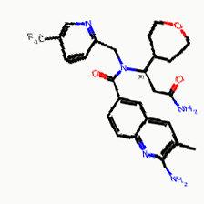 Cc1cc2cc(C(=O)N(Cc3ccc(C(F)(F)F)cn3)[C@H](CC(N)=O)C3CCOCC3)ccc2nc1N